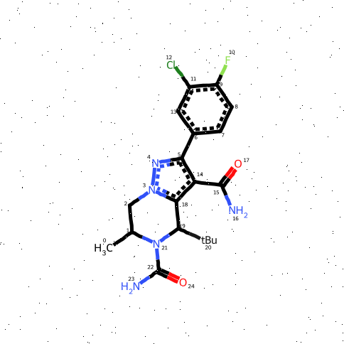 CC1Cn2nc(-c3ccc(F)c(Cl)c3)c(C(N)=O)c2C(C(C)(C)C)N1C(N)=O